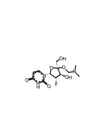 CN(C)CO[C@]1(CO)O[C@@H](n2ccc(=O)[nH]c2=O)[C@@H](F)[C@@H]1O